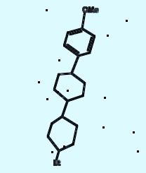 CCC1CCC(C2CCC(c3ccc(OC)cc3)CC2)CC1